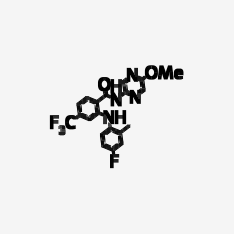 COc1cnc(NC(=O)c2ccc(C(F)(F)F)cc2Nc2ccc(F)cc2C)cn1